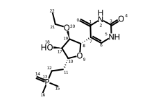 C=C1NC(=O)NC=C1[C@@H]1O[C@H](CCP(=C)(C)C)[C@@H](O)[C@H]1OCC